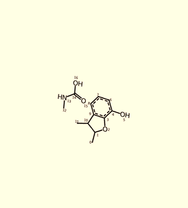 CC1Oc2c(O)cccc2C1C.CNC(=O)O